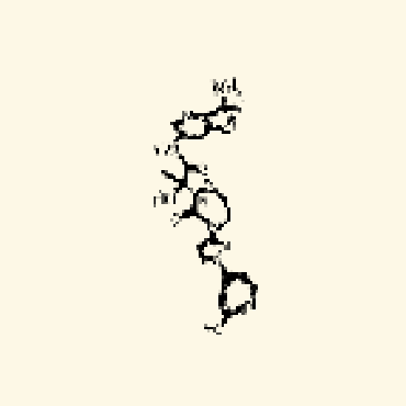 COc1cc(-n2ccc(N3CCO[C@H](C(C)(O)C(=O)Nc4cnc5c(N)noc5c4)C3=O)n2)ccn1